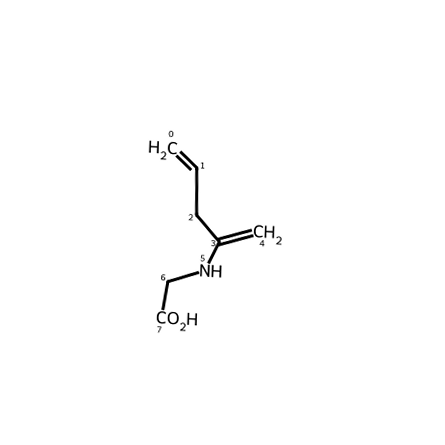 C=CCC(=C)NCC(=O)O